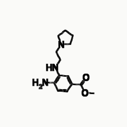 COC(=O)c1ccc(N)c(NCCN2CCCC2)c1